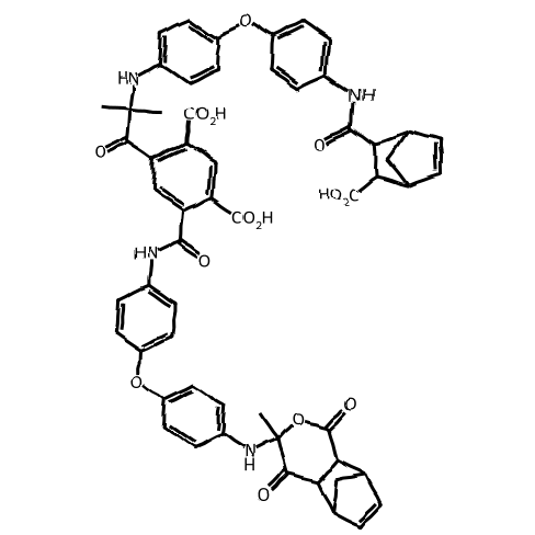 CC(C)(Nc1ccc(Oc2ccc(NC(=O)C3C4C=CC(C4)C3C(=O)O)cc2)cc1)C(=O)c1cc(C(=O)Nc2ccc(Oc3ccc(NC4(C)OC(=O)C5C6C=CC(C6)C5C4=O)cc3)cc2)c(C(=O)O)cc1C(=O)O